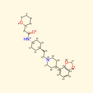 O=C(CC1CCCCO1)N[C@H]1CC[C@H](CCN2CCC(c3cccc4c3OCO4)CC2)CC1